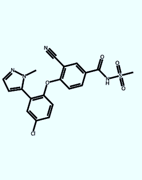 Cn1nccc1-c1cc(Cl)ccc1Oc1ccc(C(=O)NS(C)(=O)=O)cc1C#N